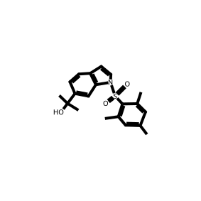 Cc1cc(C)c(S(=O)(=O)n2ccc3ccc(C(C)(C)O)cc32)c(C)c1